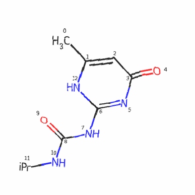 Cc1cc(=O)nc(NC(=O)NC(C)C)[nH]1